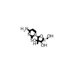 CC1(O)[C@@H](O)[C@@H](CO)O[C@H]1n1ccc(N)nc1=S